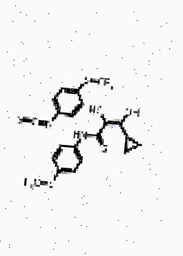 FC(F)(F)Sc1ccc(N=C=S)cc1.N#C/C(C(=S)Nc1ccc(SC(F)(F)F)cc1)=C(\O)C1CC1